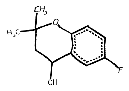 CC1(C)CC(O)c2cc(F)ccc2O1